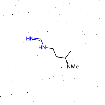 CN[C@H](C)CCNC=N